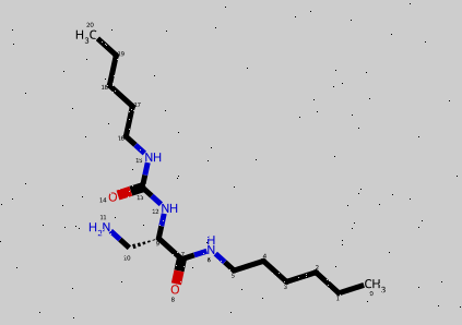 CCCCCCNC(=O)[C@H](CN)NC(=O)NCCCCC